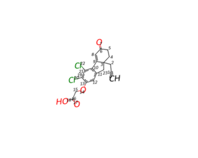 C#CCC12CCC(=O)C=C1c1c(cc(OCC(=O)O)c(Cl)c1Cl)C2